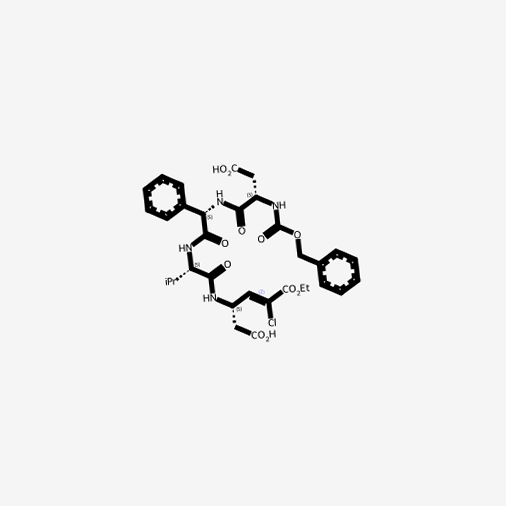 CCOC(=O)/C(Cl)=C/[C@H](CC(=O)O)NC(=O)[C@@H](NC(=O)[C@@H](NC(=O)[C@H](CC(=O)O)NC(=O)OCc1ccccc1)c1ccccc1)C(C)C